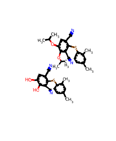 Cc1ccc(Sc2c(C#N)cc(O)c(O)c2C#N)c(C)c1.Cc1ccc(Sc2c(C#N)cc(OC(C)C)c(OC(C)C)c2C#N)c(C)c1